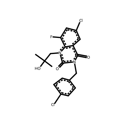 CC(C)(O)Cn1c(=O)n(Cc2ccc(Cl)cc2)c(=O)c2cc(Cl)cc(F)c21